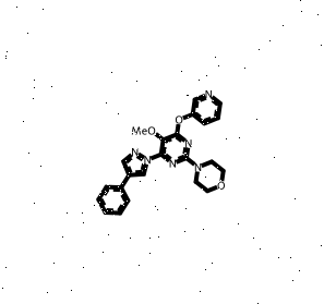 COc1c(Oc2cccnc2)nc(N2CCOCC2)nc1-n1cc(-c2ccccc2)cn1